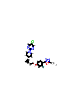 Cc1nnc(-c2ccc(OCC[C@@H]3C[C@@H]3C3CCN(c4ncc(Cl)cn4)CC3)cc2F)o1